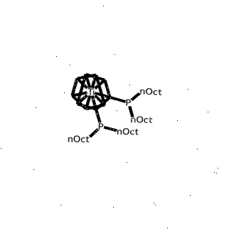 CCCCCCCCP(CCCCCCCC)[C]12[CH]3[CH]4[CH]5[C]1(P(CCCCCCCC)CCCCCCCC)[Ti]43521678[CH]2[CH]1[CH]6[CH]7[CH]28